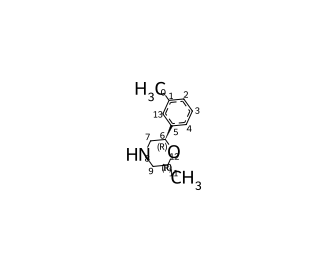 Cc1cccc([C@@H]2CNC[C@@H](C)O2)c1